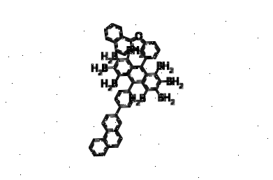 Bc1c(B)c(B)c2c(-c3cccc4oc5c6ccccc6ccc5c34)c3c(B)c(B)c(B)c(B)c3c(-c3ccc(-c4ccc5c(ccc6ccccc65)c4)cc3)c2c1B